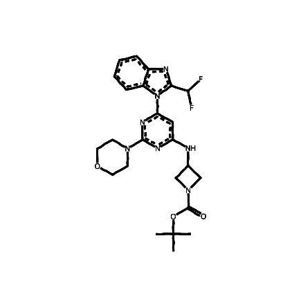 CC(C)(C)OC(=O)N1CC(Nc2cc(-n3c(C(F)F)nc4ccccc43)nc(N3CCOCC3)n2)C1